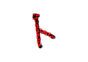 c1ccc(COCCOCCOCCOCCOCCOc2cc(OCCOCCOCCOCCOCCOCc3ccccc3)cc(OCCOCCOCCOCCOCCOC(c3ccccc3)(c3ccccc3)c3ccccc3)c2)cc1